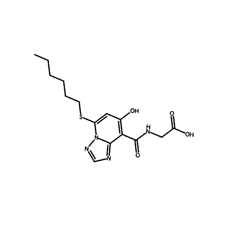 CCCCCCSc1cc(O)c(C(=O)NCC(=O)O)c2ncnn12